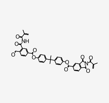 C=C(C)C(=O)NC(=O)c1cc(C(=O)Oc2ccc(C(C)(C)c3ccc(OC(=O)c4ccc5c(c4)C(=O)N(C(=O)C(=C)C)C5=O)cc3)cc2)ccc1C=O